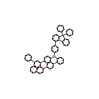 c1ccc(-c2cccc(-c3ccc(N(c4ccc(-c5cccc6c5-c5ccccc5C6(c5ccccc5)c5ccccc5)cc4)c4ccccc4-c4ccc(-c5ccc6ccccc6c5)cc4)cc3)c2)cc1